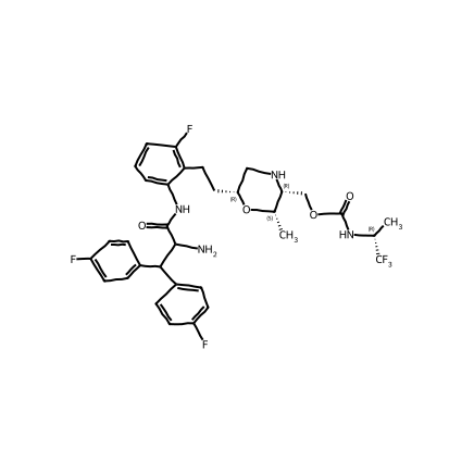 C[C@@H]1O[C@H](CCc2c(F)cccc2NC(=O)C(N)C(c2ccc(F)cc2)c2ccc(F)cc2)CN[C@@H]1COC(=O)N[C@H](C)C(F)(F)F